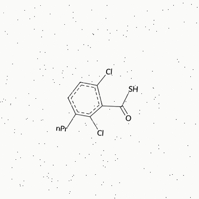 CCCc1ccc(Cl)c(C(=O)S)c1Cl